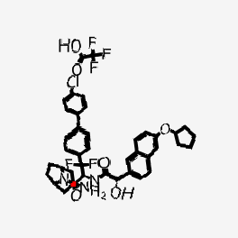 NC1CC2CCC(C1)N2C(=O)[C@H](NC(=O)[C@@H](O)c1ccc2cc(OC3CCCC3)ccc2c1)C(F)(F)c1ccc(-c2ccc(Cl)cc2)cc1.O=C(O)C(F)(F)F